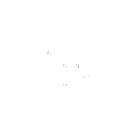 CCCn1ccc2ncc(C(=O)OCC)n21